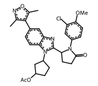 COc1ccc(N2C(=O)CCC2c2nc3cc(-c4c(C)noc4C)ccc3n2C2CCC(OC(C)=O)C2)cc1Cl